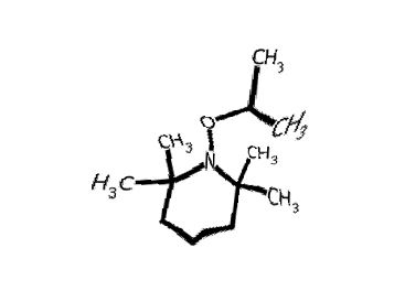 CC(C)ON1C(C)(C)CCCC1(C)C